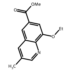 CCOc1cc(C(=O)OC)cc2cc(C)cnc12